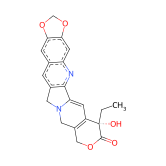 CC[C@@]1(O)C(=O)OCC2=C1C=C1c3nc4cc5c(cc4cc3CN1C2)OCO5